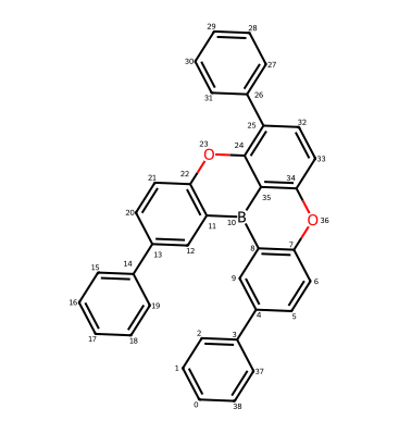 c1ccc(-c2ccc3c(c2)B2c4cc(-c5ccccc5)ccc4Oc4c(-c5ccccc5)ccc(c42)O3)cc1